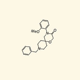 COc1ccccc1N1CC2(CCN(Cc3ccccc3)CC2)OCC1=O